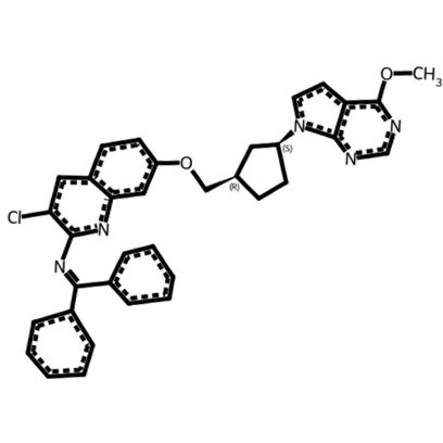 COc1ncnc2c1ccn2[C@H]1CC[C@@H](COc2ccc3cc(Cl)c(N=C(c4ccccc4)c4ccccc4)nc3c2)C1